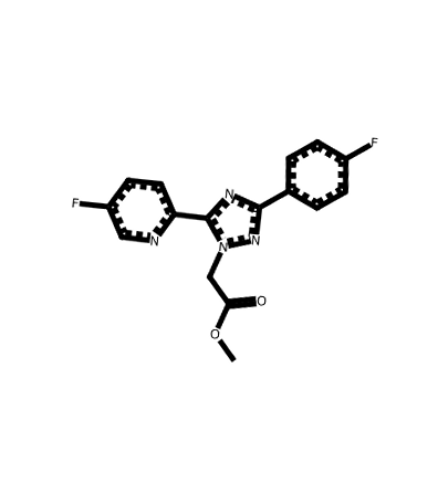 COC(=O)Cn1nc(-c2ccc(F)cc2)nc1-c1ccc(F)cn1